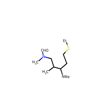 CCSCCC(NC)C(C)CN(C)C=O